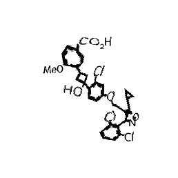 COc1ccc(C(=O)O)cc1C1CC(O)(c2ccc(OCc3c(-c4c(Cl)cccc4Cl)noc3C3CC3)cc2Cl)C1